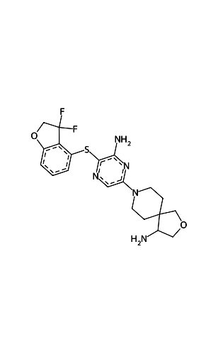 Nc1nc(N2CCC3(CC2)COCC3N)cnc1Sc1cccc2c1C(F)(F)CO2